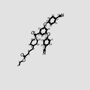 CCOC(=O)CCCC1CCN(C(=O)c2cc(Oc3ccc(C#N)cc3)cc(Oc3ccc(C#N)cc3)c2)CC1